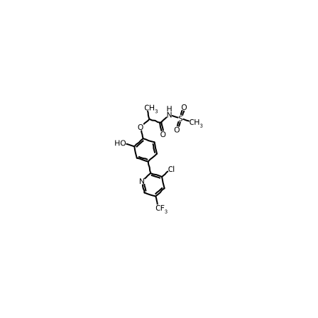 CC(Oc1ccc(-c2ncc(C(F)(F)F)cc2Cl)cc1O)C(=O)NS(C)(=O)=O